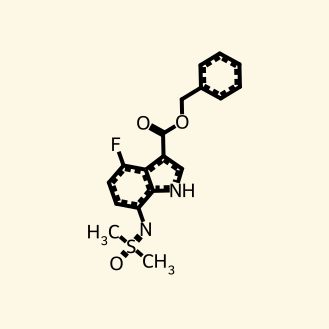 CS(C)(=O)=Nc1ccc(F)c2c(C(=O)OCc3ccccc3)c[nH]c12